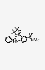 CN[S+]([O-])c1ccc(NCc2ccccc2)c(B2OC(C)(C)C(C)(C)O2)c1